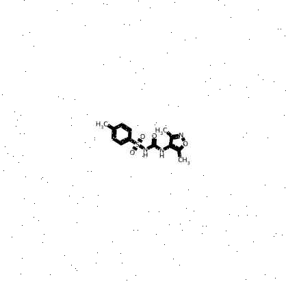 Cc1ccc(S(=O)(=O)NC(=O)Nc2c(C)noc2C)cc1